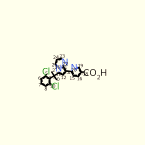 CC(C)(c1c(Cl)cccc1Cl)c1cc(-c2ccc(C(=O)O)cn2)c2ncccn12